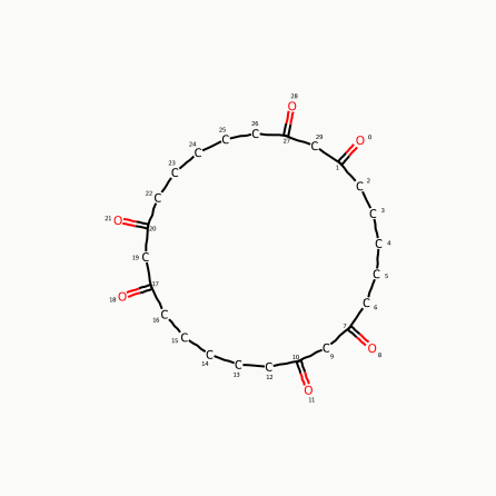 O=C1CCCCCC(=O)CC(=O)CCCCCC(=O)CC(=O)CCCCCC(=O)C1